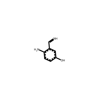 N=Cc1cc(O)ccc1N